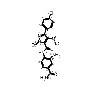 CCOc1c(-c2ccc(Cl)cc2)nn(CC)c1C(=O)Nc1ccc(C(N)=O)cc1N